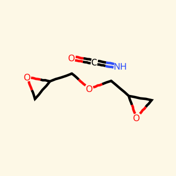 C(OCC1CO1)C1CO1.N=C=O